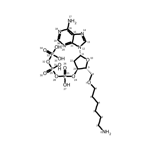 NCCCCCCOC[C@H]1O[C@@H](n2cnc3c(N)ncnc32)C[C@@H]1OP(=O)(O)OP(=O)(O)OP(=O)(O)O